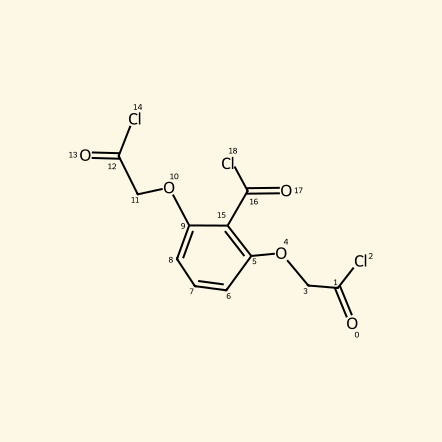 O=C(Cl)COc1cccc(OCC(=O)Cl)c1C(=O)Cl